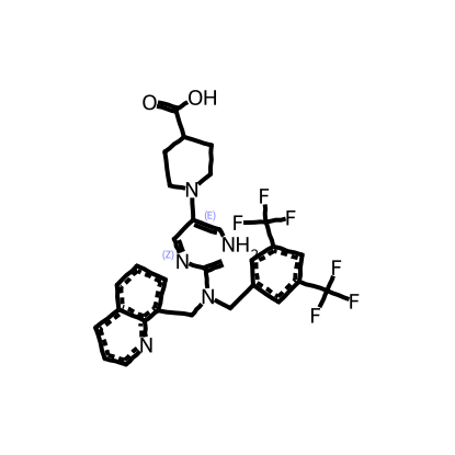 C=C(/N=C\C(=C/N)N1CCC(C(=O)O)CC1)N(Cc1cc(C(F)(F)F)cc(C(F)(F)F)c1)Cc1cccc2cccnc12